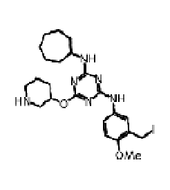 COc1ccc(Nc2nc(NC3CCCCCC3)nc(OC3CCCNC3)n2)cc1CI